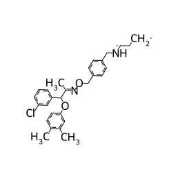 [CH2]C[CH]NCc1ccc(CO/N=C(\C)C(Oc2ccc(C)c(C)c2)c2cccc(Cl)c2)cc1